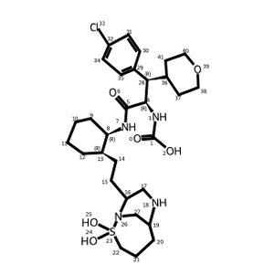 O=C(O)N[C@@H](C(=O)N[C@@H]1CCCC[C@@H]1CCC1CNC2CCCS(O)(O)N1C2)[C@@H](c1ccc(Cl)cc1)C1CCOCC1